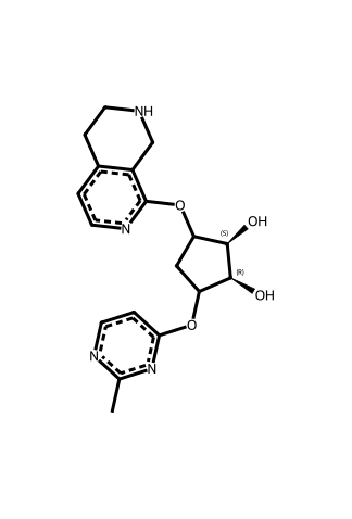 Cc1nccc(OC2CC(Oc3nccc4c3CNCC4)[C@@H](O)[C@H]2O)n1